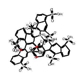 O=C(c1ccccc1-c1c(S(=O)(=O)O)cc2c(S(=O)(=O)O)cccc2c1S(=O)(=O)O)N(c1c(S(=O)(=O)O)cc2c(S(=O)(=O)O)cccc2c1S(=O)(=O)O)c1c(S(=O)(=O)O)c(-c2c(S(=O)(=O)O)cc3c(S(=O)(=O)O)cccc3c2S(=O)(=O)O)c2c(S(=O)(=O)O)cccc2c1S(=O)(=O)O